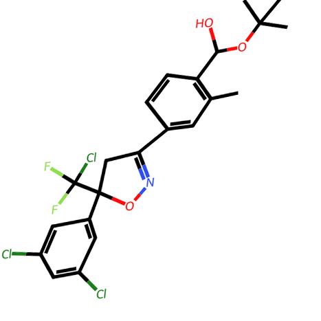 Cc1cc(C2=NOC(c3cc(Cl)cc(Cl)c3)(C(F)(F)Cl)C2)ccc1C(O)OC(C)(C)C